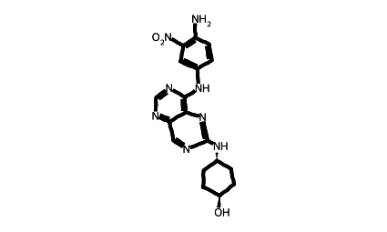 Nc1ccc(Nc2ncnc3cnc(N[C@H]4CC[C@H](O)CC4)nc23)cc1[N+](=O)[O-]